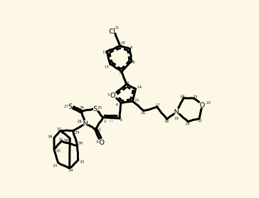 O=C1/C(=C/c2oc(-c3ccc(Cl)cc3)cc2CCCN2CCOCC2)SC(=S)N1C1C2CC3CC(C2)CC1C3